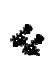 CC(C)(C)c1cc(CCCP(=O)([O-])[O-])cc(C(C)(C)C)c1O.CC(C)(C)c1cc(CCCP(=O)([O-])[O-])cc(C(C)(C)C)c1O.[Ni+4]